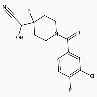 N#CC(O)C1(F)CCN(C(=O)c2ccc(F)c(Cl)c2)CC1